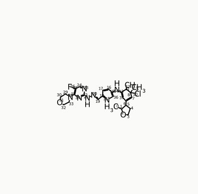 CC1OCCC1C1=CC(C)(Cl)C(C)C(Nc2ccc(/C=N/Nc3ncc(F)c(N4CCOCC4)n3)nc2)=C1